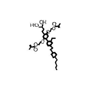 C=C(C)C(=O)OCCOc1cc(-c2ccc(CCc3ccc(CCCCC)cc3)cc2CC)c(OCCOC(=O)C(=C)C)cc1CCC(CO)CO